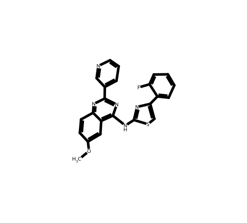 COc1ccc2nc(-c3cccnc3)nc(Nc3nc(-c4ccccc4F)cs3)c2c1